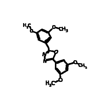 COc1cc(OC)cc(-c2nnc(-c3cc(OC)cc(OC)c3)o2)c1